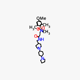 COc1cc(C)c(S(=O)(=O)N(C)CCC(=O)NCC2CCN(C3CCC(N4CCCC4)CC3)CC2)c(C)c1